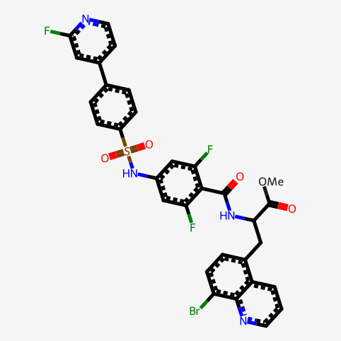 COC(=O)C(Cc1ccc(Br)c2ncccc12)NC(=O)c1c(F)cc(NS(=O)(=O)c2ccc(-c3ccnc(F)c3)cc2)cc1F